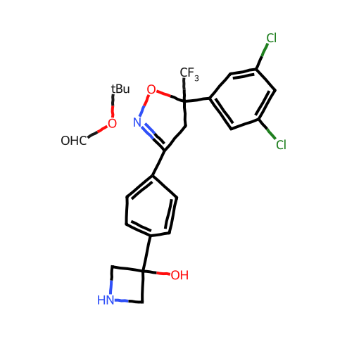 CC(C)(C)OC=O.OC1(c2ccc(C3=NOC(c4cc(Cl)cc(Cl)c4)(C(F)(F)F)C3)cc2)CNC1